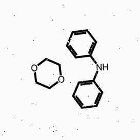 C1COCCO1.c1ccc(Nc2ccccc2)cc1